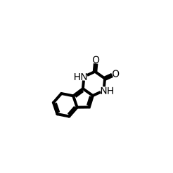 O=c1[nH]c2c([nH]c1=O)=C1CC=CC=C1C=2